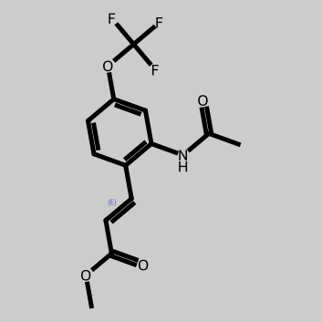 COC(=O)/C=C/c1ccc(OC(F)(F)F)cc1NC(C)=O